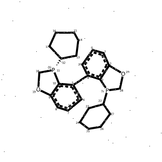 c1cc2c(c(-c3cccc4c3[P@@](C3CCCCC3)CO4)c1)P(C1CCCCC1)CO2